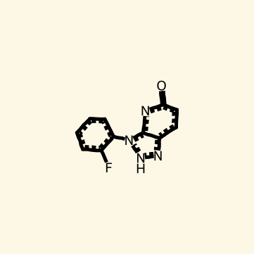 O=c1ccc2n[nH]n(-c3ccccc3F)c-2n1